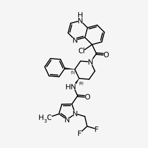 Cc1cc(C(=O)N[C@@H]2CCN(C(=O)C3(Cl)C=CC=C4NC=CN=C43)C[C@@H]2c2ccccc2)n(CC(F)F)n1